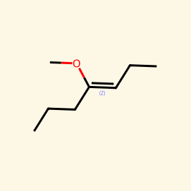 CC/C=C(/CCC)OC